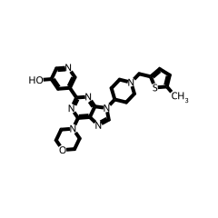 Cc1ccc(CN2CCC(n3cnc4c(N5CCOCC5)nc(-c5cncc(O)c5)nc43)CC2)s1